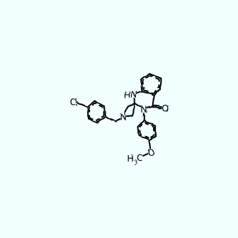 COc1ccc(N2C(=O)c3ccccc3NC23CN(Cc2ccc(Cl)cc2)C3)cc1